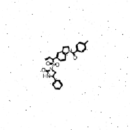 C=CC(c1ccc2c(c1)CCN2C(=O)c1ccc(C)cc1)S(=O)(=O)N1CC(c2ccccc2)NC1=O